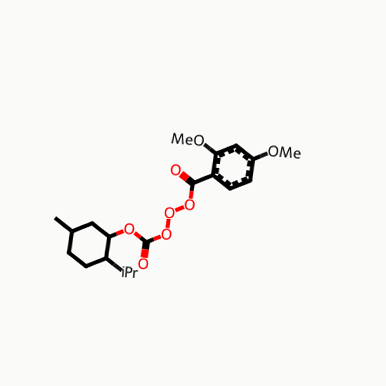 COc1ccc(C(=O)OOOC(=O)OC2CC(C)CCC2C(C)C)c(OC)c1